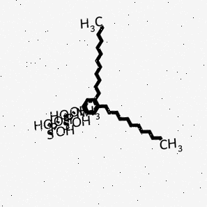 CCCCCCCCCCCCc1ccccc1CCCCCCCCCCCC.N.OP(O)(O)=S.OP(O)(O)=S